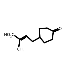 CC(=CCC1CCC(=O)CC1)C(=O)O